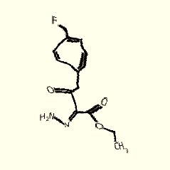 CCOC(=O)/C(=N/N)C(=O)Cc1ccc(F)cc1